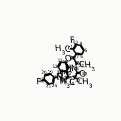 Cc1c(F)cccc1[C@H](Oc1ccc2c(cnn2-c2ccc(F)cc2)c1)[C@H](C)NC(=O)C(C)(C)C